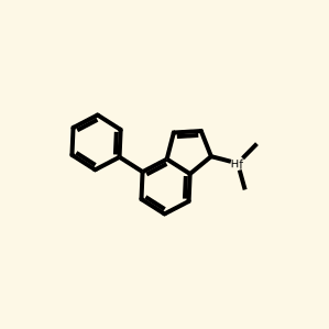 [CH3][Hf]([CH3])[CH]1C=Cc2c(-c3ccccc3)cccc21